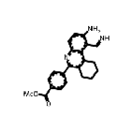 COC(=O)c1ccc(-c2nc3ccc(N)c(C=N)c3c3c2CCCC3)cc1